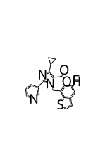 O=C(O)c1c(C2CC2)nc(-c2cccnc2)n1Cc1cc(F)cc2ccsc12